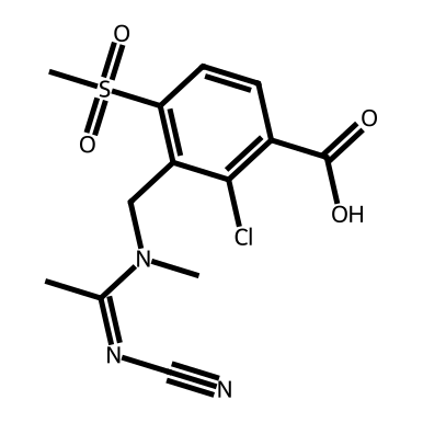 C/C(=N/C#N)N(C)Cc1c(S(C)(=O)=O)ccc(C(=O)O)c1Cl